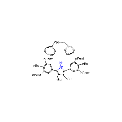 CCCCCc1cc(C2=C(CCCC)C(CCCC)=C(c3cc(CCCCC)c(CCCC)c(CCCCC)c3)[N+]2=[N-])cc(CCCCC)c1CCCC.c1ccc([CH2][Ni][CH2]c2ccccc2)cc1